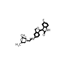 C[C@@H]1CN(CCNc2ccc3c(c2)COC3=C2C(=O)Nc3ccc(F)cc32)C[C@H](C)O1